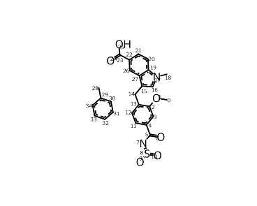 COc1cc(C(=O)N=S(=O)=O)ccc1Cc1cn(C)c2ccc(C(=O)O)cc12.Cc1ccccc1